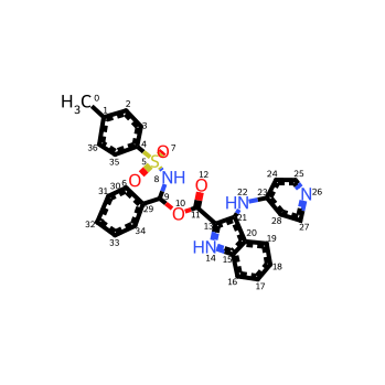 Cc1ccc(S(=O)(=O)NC(OC(=O)c2[nH]c3ccccc3c2Nc2ccncc2)c2ccccc2)cc1